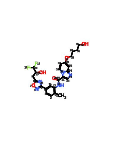 Cc1ccc(-c2noc(C[C@H](O)C(F)F)n2)cc1NC(=O)c1cnc2cc(OCCCCO)ccn12